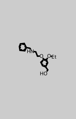 CCOc1cc(CO)ccc1OCCNCc1ccccc1